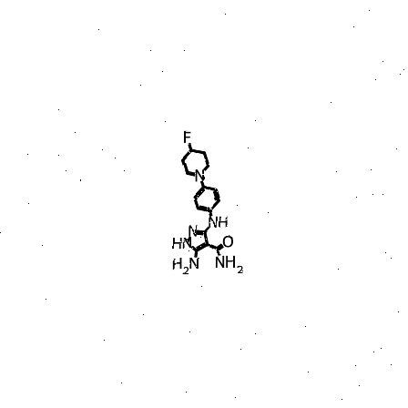 NC(=O)c1c(Nc2ccc(N3CCC(F)CC3)cc2)n[nH]c1N